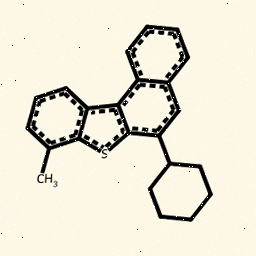 Cc1cccc2c1sc1c(C3CCCCC3)cc3ccccc3c12